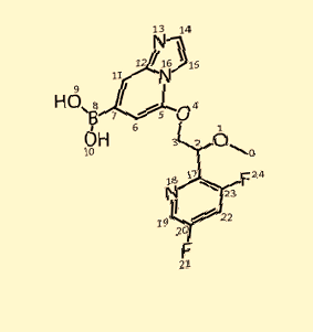 COC(COc1cc(B(O)O)cc2nccn12)c1ncc(F)cc1F